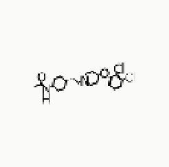 CC(=O)N[C@H]1CC[C@H](CCN2CCC(Oc3cccc(Cl)c3Cl)CC2)CC1